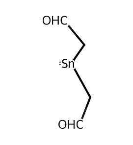 O=C[CH2][Sn][CH2]C=O